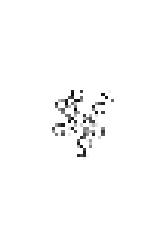 CC(C)(C)c1ccc(N2c3cccc4c3B(c3ccc(C(C)(C)C)cc3-4)c3c2cc2c(c3C(C)(C)C)N(c3ccccc3)c3cccc4c3B2c2ccccc2-4)cc1